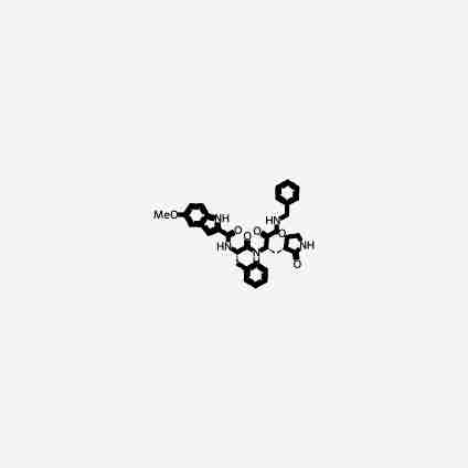 COc1ccc2[nH]c(C(=O)N[C@@H](Cc3ccccc3)C(=O)N[C@@H](C[C@@H]3CCNC3=O)C(=O)C(=O)NCc3ccccc3)cc2c1